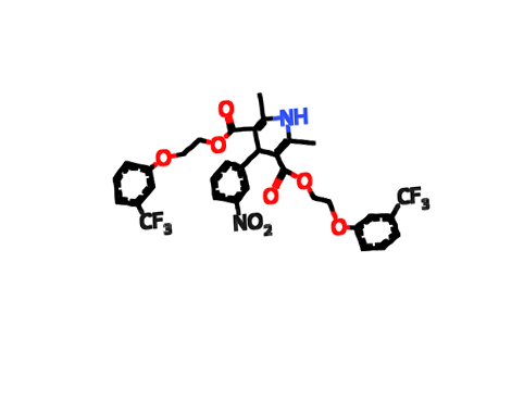 CC1=C(C(=O)OCCOc2cccc(C(F)(F)F)c2)C(c2cccc([N+](=O)[O-])c2)C(C(=O)OCCOc2cccc(C(F)(F)F)c2)=C(C)N1